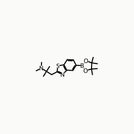 CN(C)C(C)(C)Cc1nc2cc(B3OC(C)(C)C(C)(C)O3)ccc2s1